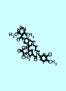 Cc1ccc(N(CCCN2CC3CN(C(=O)c4c(C)ncnc4C)CC3C2)C(=O)C2CC(=O)N(C(C)C(=O)O)C2)cc1Cl